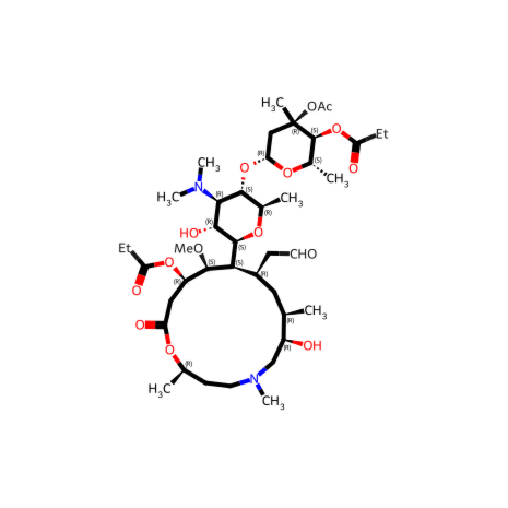 CCC(=O)O[C@@H]1CC(=O)O[C@H](C)CCN(C)C[C@H](O)[C@H](C)C[C@H](CC=O)[C@H]([C@@H]2O[C@H](C)[C@@H](O[C@@H]3C[C@@](C)(OC(C)=O)[C@@H](OC(=O)CC)[C@H](C)O3)[C@H](N(C)C)[C@H]2O)[C@@H]1OC